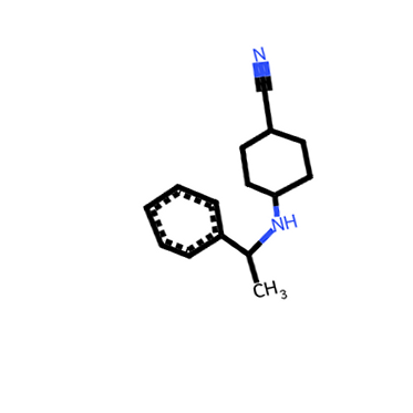 CC(NC1CCC(C#N)CC1)c1ccccc1